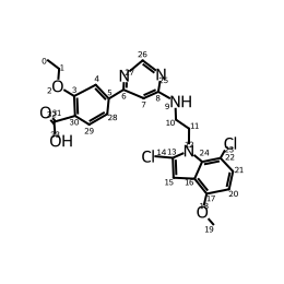 CCOc1cc(-c2cc(NCCn3c(Cl)cc4c(OC)ccc(Cl)c43)ncn2)ccc1C(=O)O